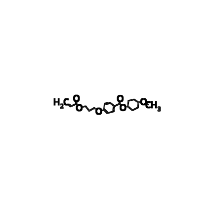 C=CC(=O)OCCCOc1ccc(C(=O)OC2CCC(OC)CC2)cc1